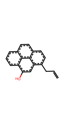 C=CCc1ccc2ccc3cccc4c(O)cc1c2c34